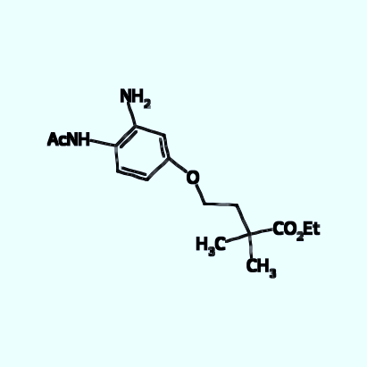 CCOC(=O)C(C)(C)CCOc1ccc(NC(C)=O)c(N)c1